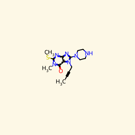 CC#CCn1c(N2CCNCC2)nc2nc(SC)n(C)c(=O)c21